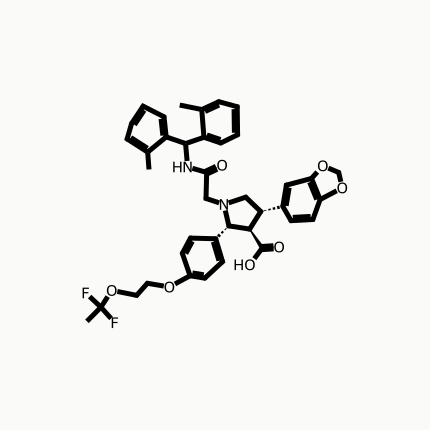 Cc1ccccc1C(NC(=O)CN1C[C@H](c2ccc3c(c2)OCO3)[C@@H](C(=O)O)[C@@H]1c1ccc(OCCOC(C)(F)F)cc1)c1ccccc1C